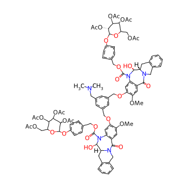 COc1cc2c(cc1OCc1cc(COc3cc4c(cc3OC)C(=O)N3Cc5ccccc5C[C@H]3[C@H](O)N4C(=O)OCc3ccc(OC4OC(COC(C)=O)C(OC(C)=O)C(OC(C)=O)[C@H]4OC(C)=O)cc3)cc(CN(C)C)c1)N(C(=O)OCc1ccc(OC3OC(COC(C)=O)C(OC(C)=O)C(OC(C)=O)[C@H]3OC(C)=O)cc1)C(O)[C@@H]1Cc3ccccc3CN1C2=O